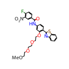 COCCOCCOCCOc1cc(NC(=O)c2ccc(F)c([N+](=O)[O-])c2)ccc1-c1nc2ccccc2s1